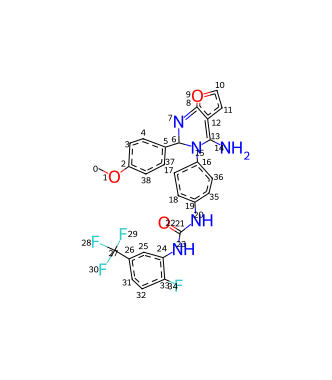 COc1ccc(C2N=c3occc3=C(N)N2c2ccc(NC(=O)Nc3cc(C(F)(F)F)ccc3F)cc2)cc1